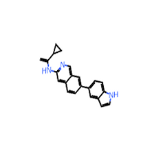 C=C(Nc1cc2ccc(-c3ccc4[nH]ccc4c3)cc2cn1)C1CC1